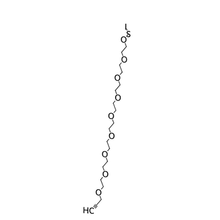 C#CCOCCOCCOCCOCCOCCOCCOCCOCCOSI